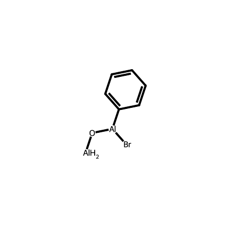 [AlH2][O][Al]([Br])[c]1ccccc1